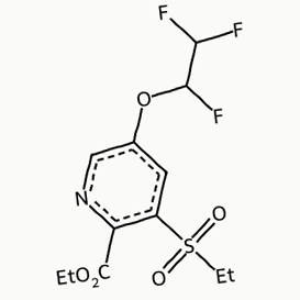 CCOC(=O)c1ncc(OC(F)C(F)F)cc1S(=O)(=O)CC